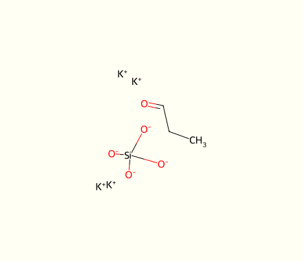 CCC=O.[K+].[K+].[K+].[K+].[O-][Si]([O-])([O-])[O-]